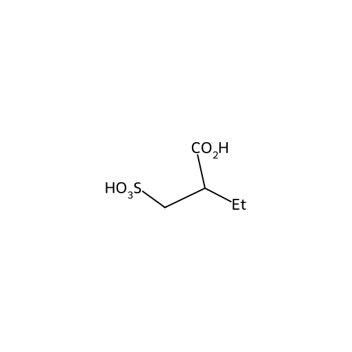 CCC(CS(=O)(=O)O)C(=O)O